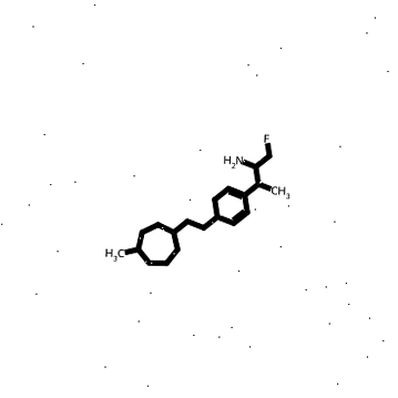 CC1CCCC(CCC2C=CC(C(C)C(N)CF)=CC2)CC1